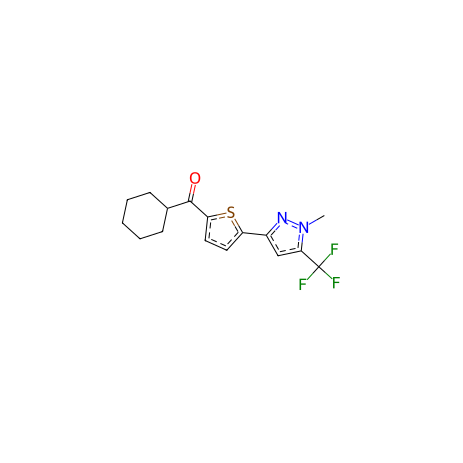 Cn1nc(-c2ccc(C(=O)C3CCCCC3)s2)cc1C(F)(F)F